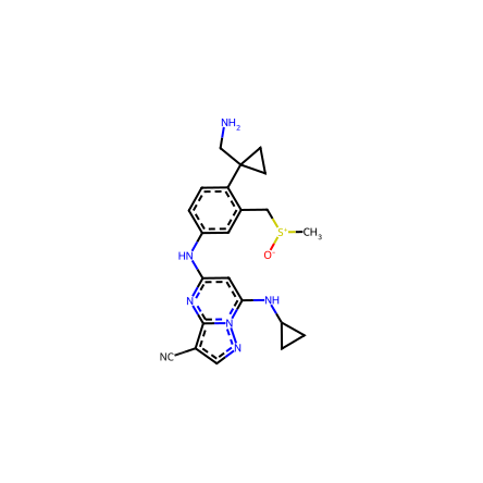 C[S+]([O-])Cc1cc(Nc2cc(NC3CC3)n3ncc(C#N)c3n2)ccc1C1(CN)CC1